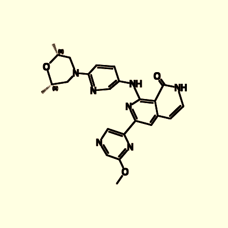 COc1cncc(-c2cc3cc[nH]c(=O)c3c(Nc3ccc(N4C[C@@H](C)O[C@@H](C)C4)nc3)n2)n1